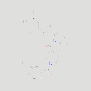 C=C(/C=C(F)\C=C(/C)F)[C@@H]1CC[C@H]2OC3(CCN(C(=O)c4cc(C)ccn4)CC3)C(=O)N21